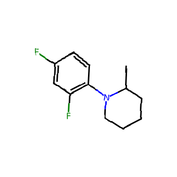 CC1CCCCN1c1ccc(F)cc1F